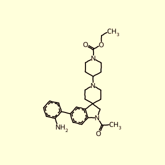 CCOC(=O)N1CCC(N2CCC3(CC2)CN(C(C)=O)c2ccc(-c4ccccc4N)cc23)CC1